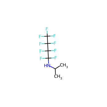 CC(C)NC(F)(F)C(F)(F)C(F)(F)C(F)(F)F